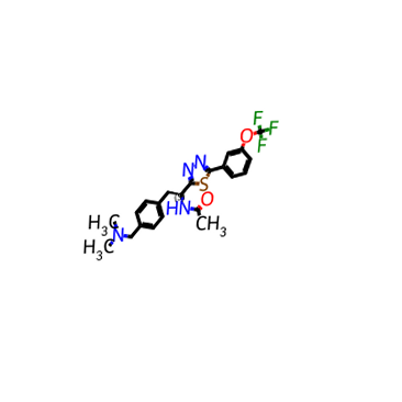 CC(=O)N[C@@H](Cc1ccc(CN(C)C)cc1)c1nnc(-c2cccc(OC(F)(F)F)c2)s1